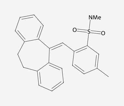 CNS(=O)(=O)c1cc(C)ccc1C=C1c2ccccc2CCc2ccccc21